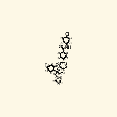 C[C@@H](C[C@H]1CO[C@H](c2ccc(C(=O)Nc3ccc(Cl)cc3)cc2)OC1)[C@](O)(Cn1cncn1)c1ccc(F)cc1F